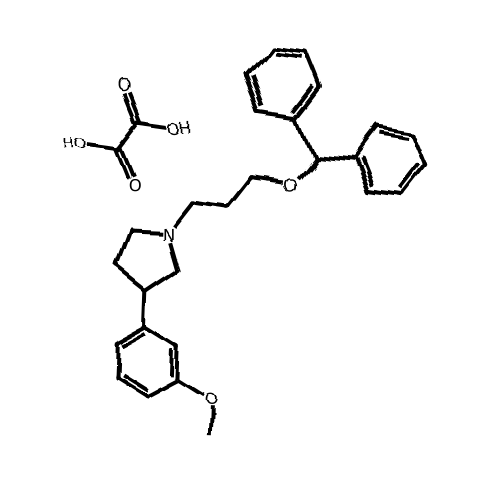 COc1cccc(C2CCN(CCCOC(c3ccccc3)c3ccccc3)C2)c1.O=C(O)C(=O)O